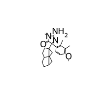 COc1ccc(C2(C34CCC5CCC3CC5C4)N=C(N)N(C)C2=O)c(C)c1C